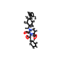 O=C(c1ccccc1)n1c(=O)ccn(Cc2ccc([N+](=O)[O-])cc2)c1=O